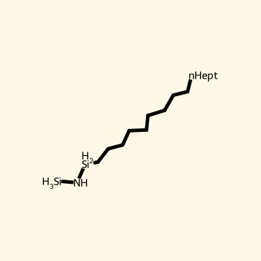 CCCCCCCCCCCCCCCC[SiH2]N[SiH3]